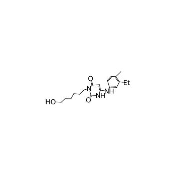 CCc1cc(Nc2cc(=O)n(CCCCCCO)c(=O)[nH]2)ccc1C